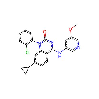 COc1cncc(Nc2nc(=O)n(-c3ccccc3Cl)c3cc(C4CC4)ccc23)c1